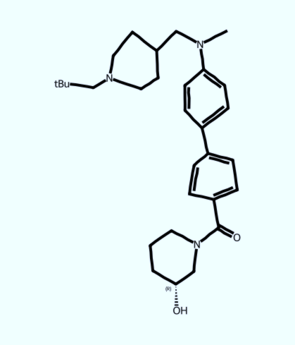 CN(CC1CCN(CC(C)(C)C)CC1)c1ccc(-c2ccc(C(=O)N3CCC[C@@H](O)C3)cc2)cc1